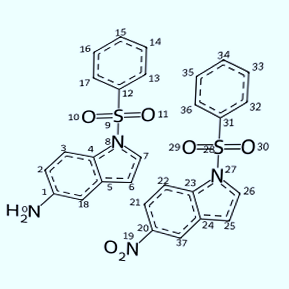 Nc1ccc2c(ccn2S(=O)(=O)c2ccccc2)c1.O=[N+]([O-])c1ccc2c(ccn2S(=O)(=O)c2ccccc2)c1